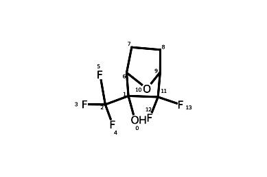 OC1(C(F)(F)F)C2CCC(O2)C1(F)F